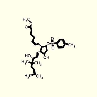 COC(=O)CCC/C=C\C[C@@H]1[C@@H](/C=C/[C@@H](O)C(C)(C)CC=C(C)C)[C@H](O)C[C@H]1OS(=O)(=O)c1ccc(C)cc1